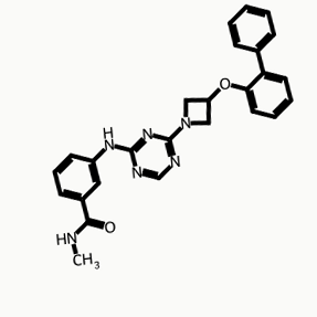 CNC(=O)c1cccc(Nc2ncnc(N3CC(Oc4ccccc4-c4ccccc4)C3)n2)c1